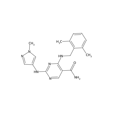 Cc1cccc(C)c1CNc1nc(Nc2cnn(C)c2)ncc1C(N)=O